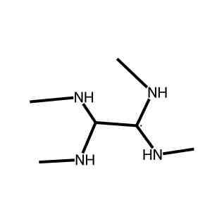 CN[C](NC)C(NC)NC